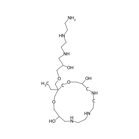 CCC1(COCC(O)CNCCNCCN)COCC(O)CNCCNCCNCC(O)COC1